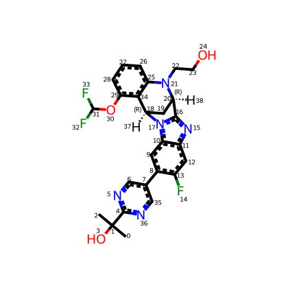 CC(C)(O)c1ncc(-c2cc3c(cc2F)nc2n3[C@@H]3C[C@H]2N(CCO)c2cccc(OC(F)F)c23)cn1